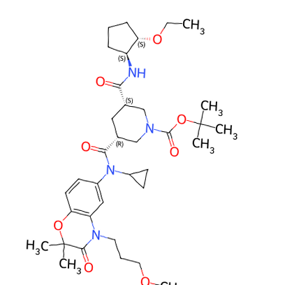 CCO[C@H]1CCC[C@@H]1NC(=O)[C@H]1C[C@@H](C(=O)N(c2ccc3c(c2)N(CCCOC)C(=O)C(C)(C)O3)C2CC2)CN(C(=O)OC(C)(C)C)C1